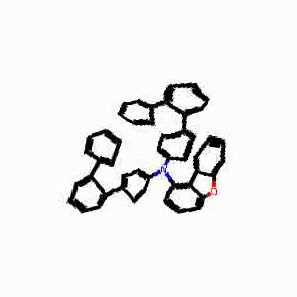 c1ccc(-c2ccccc2-c2ccc(N(c3ccc(-c4ccccc4-c4ccccc4)cc3)c3cccc4oc5ccccc5c34)cc2)cc1